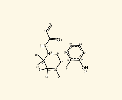 C=CC(=O)NN1CCC(C)C(C)(C)C1(C)C.Cc1ccccc1O